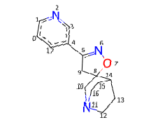 c1cncc(C2=NOC3(C2)CN2CCC3CC2)c1